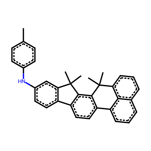 Cc1ccc(Nc2ccc3c(c2)C(C)(C)c2c-3ccc3c2C(C)(C)c2cccc4cccc-3c24)cc1